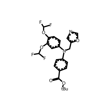 CC(C)(C)OC(=O)c1ccc(N(Cc2cnco2)c2ccc(OC(F)F)c(OC(F)F)c2)cc1